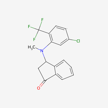 CN(c1cc(Cl)[c]cc1C(F)(F)F)C1CC(=O)c2ccccc21